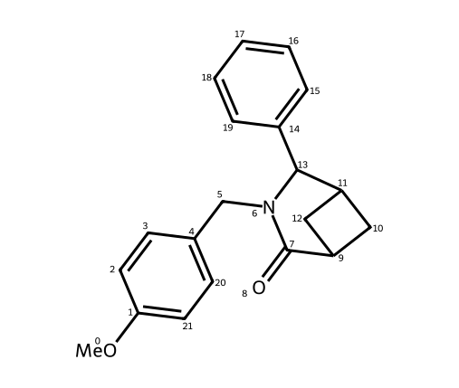 COc1ccc(CN2C(=O)C3CC(C3)C2c2ccccc2)cc1